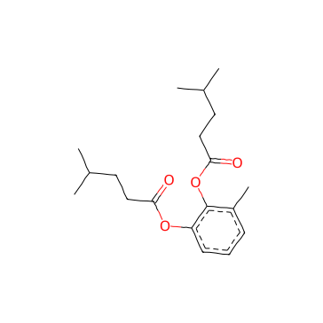 Cc1cccc(OC(=O)CCC(C)C)c1OC(=O)CCC(C)C